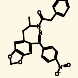 CC1Cc2cc3c(cc2C(c2ccc([N+](=O)[O-])cc2)=NN1C(=O)Cc1ccccc1)OCO3